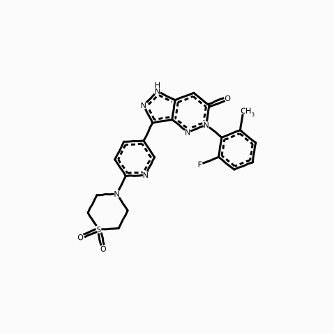 Cc1cccc(F)c1-n1nc2c(-c3ccc(N4CCS(=O)(=O)CC4)nc3)n[nH]c2cc1=O